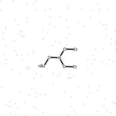 CCCC[O][Al]([O]CC)[O]CC